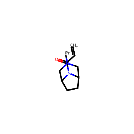 C=CC(=O)N1C2CCC1CN(C(C)C)C2